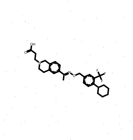 C/C(=N\OCc1ccc(C2CCCCC2)c(C(F)(F)F)c1)c1ccc2c(c1)CCN(CCC(=O)O)C2